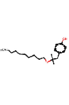 CCCCCCCCCCCCCCCCCCOC(C)(C)Cc1ccc(O)cc1